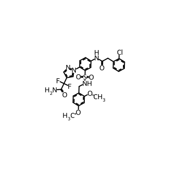 COc1ccc(CNS(=O)(=O)c2cc(NC(=O)Cc3ccccc3Cl)ccc2-n2cc(C(F)(F)C(N)=O)cn2)c(OC)c1